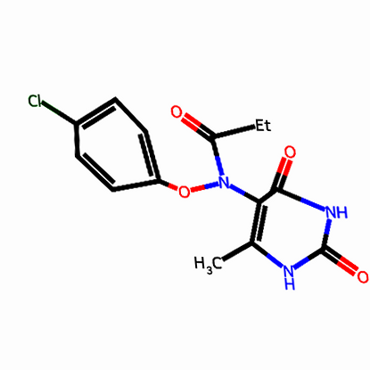 CCC(=O)N(Oc1ccc(Cl)cc1)c1c(C)[nH]c(=O)[nH]c1=O